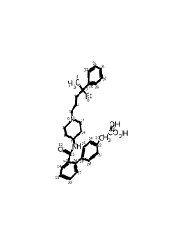 CCC(C)(CCCN1CCC(NC(=O)c2ccccc2-c2ccc(C)cc2)CC1)c1ccccc1.O=C(O)O